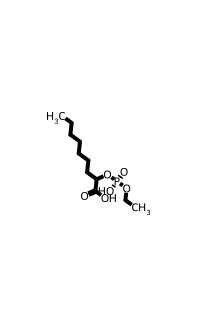 CCCCCCCC(OP(=O)(O)OCC)C(=O)O